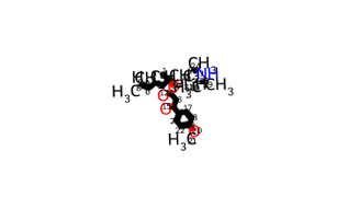 C=CC(C)(CCC=C(C)C)OC(=O)CC(=O)c1ccc(OC)cc1.CC(C)NC(C)C.[LiH]